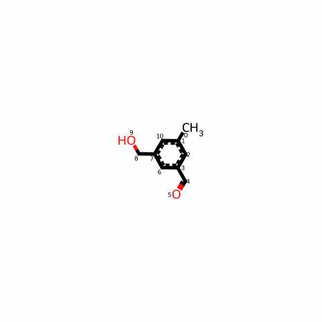 Cc1cc(C=O)cc(CO)c1